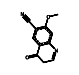 COc1cc2c(cc1C#N)C(=O)CC=N2